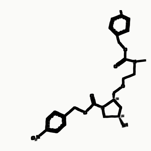 CN(CCOC[C@@H]1C[C@H](S)CN1C(=O)OCc1ccc([N+](=O)[O-])cc1)C(=O)OCc1ccc([N+](=O)[O-])cc1